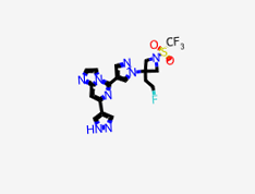 O=S(=O)(N1CC(CCF)(n2cc(-c3nc(-c4cn[nH]c4)cc4nccn34)cn2)C1)C(F)(F)F